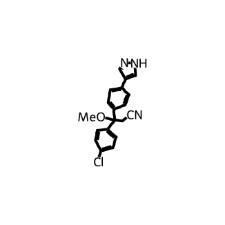 COC(CC#N)(c1ccc(Cl)cc1)c1ccc(-c2cn[nH]c2)cc1